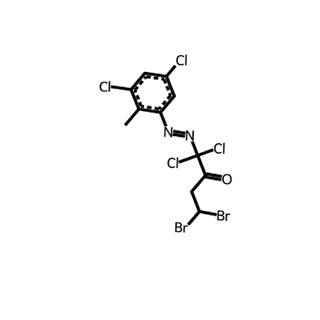 Cc1c(Cl)cc(Cl)cc1N=NC(Cl)(Cl)C(=O)CC(Br)Br